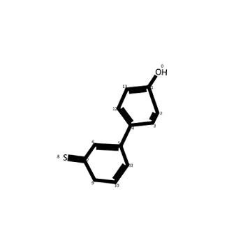 Oc1ccc(C2=CC(=S)CC=C2)cc1